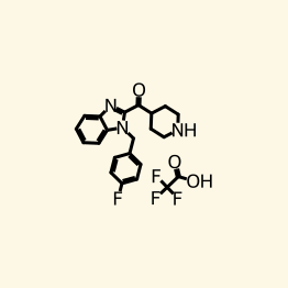 O=C(O)C(F)(F)F.O=C(c1nc2ccccc2n1Cc1ccc(F)cc1)C1CCNCC1